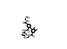 Cc1c(F)cc(C(=O)NCC(C)C)cc1-c1ccc(C(=O)NCC(C)(C)C)cc1C(=O)Nc1nccs1